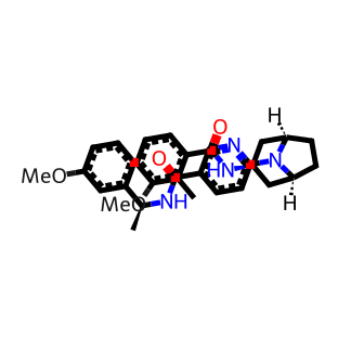 COc1cccc([C@H](C)NC(=O)c2ccc(N3[C@@H]4CC[C@H]3C[C@@H](NC(=O)c3cccc(OC)c3C)C4)nc2)c1